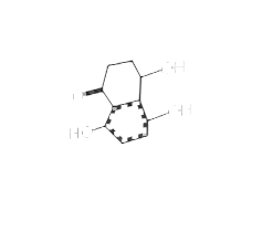 O=C1CCC(O)c2c(O)ccc(O)c21